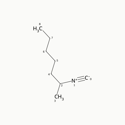 [C-]#[N+]C(C)CCCCC